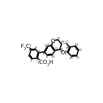 O=C(O)c1ccc(C(F)(F)F)cc1-c1ccc2c(c1)OC[C@H](Cc1ccccc1)[C@H]2O